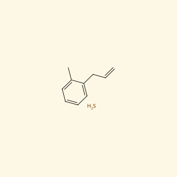 C=CCc1ccccc1C.S